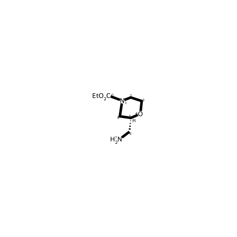 CCOC(=O)N1CCO[C@H](CN)C1